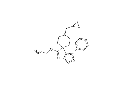 CCOC(=O)C1(c2ccsc2-c2ccccc2)CCN(CC2CC2)CC1